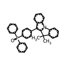 CC1(C)c2ccccc2-n2c1c(-c1ccc(P(=O)(c3ccccc3)c3ccccc3)cc1)c1ccccc12